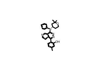 Cc1ccc(-c2nnc(N(c3ccccc3)[C@H]3CCOC(C)(C)C3)c3cnccc23)c(O)c1